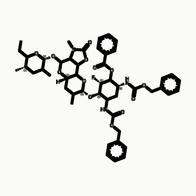 CCC1O[C@H](OC2O[C@H]3CC(C)[C@@H](O[C@@H]4C(NC(=O)OCc5ccccc5)C[C@@H](NC(=O)OCc5ccccc5)C(OC(=O)c5ccccc5)[C@H]4F)OC3C3OC(=O)N(C)C23)C(C)C[C@@H]1C